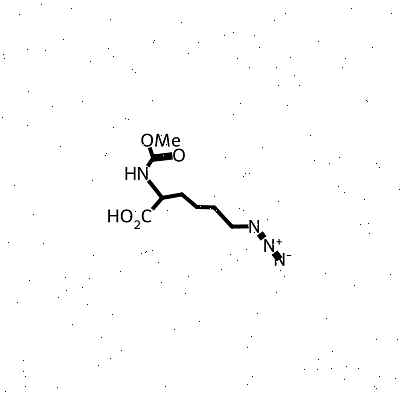 COC(=O)NC(CCCCN=[N+]=[N-])C(=O)O